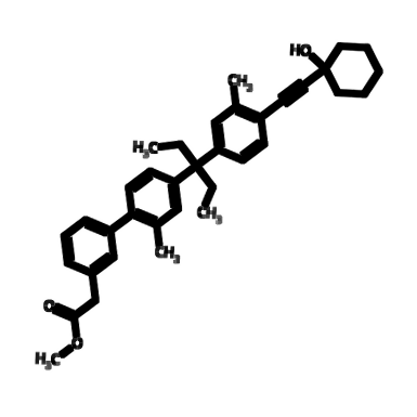 CCC(CC)(c1ccc(C#CC2(O)CCCCC2)c(C)c1)c1ccc(-c2cccc(CC(=O)OC)c2)c(C)c1